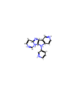 c1cncc(-n2c3ccncc3c3nc4ccncn4c32)c1